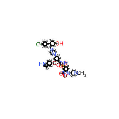 CN1CCC(Nc2ccc(S(=O)(=O)NC(=O)c3ccc(N4CCN(CC5=C(c6ccc(Cl)cc6)CCC(O)C5)CC4)cc3Oc3ccc4[nH]ccc4c3)cc2[N+](=O)[O-])CC1